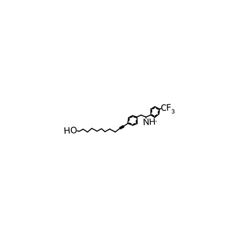 [NH]C(Cc1ccc(C#CCCCCCCCCCO)cc1)c1ccc(C(F)(F)F)cc1